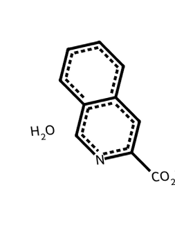 O.O=C(O)c1cc2ccccc2cn1